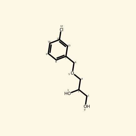 OCC(O)COCc1cccc(Cl)c1